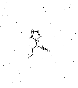 CCCC(C#N)n1ccnc1